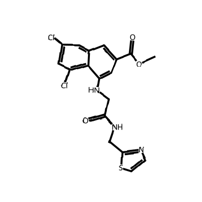 COC(=O)c1cc(NCC(=O)NCc2nccs2)c2c(Cl)cc(Cl)cc2c1